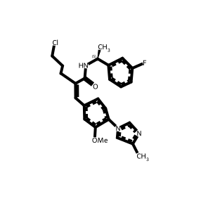 COc1cc(C=C(CCCCl)C(=O)N[C@@H](C)c2cccc(F)c2)ccc1-n1cnc(C)c1